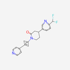 O=C1CC(c2ccc(C(F)F)nc2)CCN1C12CC(c3ccncc3)(C1)C2